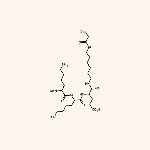 CCCCCCCCCCCC(=O)NCCCCCCNC(=O)C(CCC(=O)O)NC(=O)C(CCCCN)NC(=O)C(CCCCN)NC